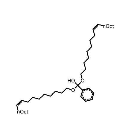 CCCCCCCC/C=C\CCCCCCCCOC(O)(OCCCCCCCC/C=C\CCCCCCCC)c1ccccc1